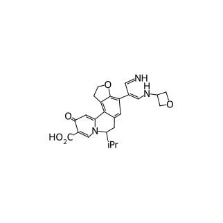 CC(C)C1Cc2cc(/C(C=N)=C/NC3COC3)c3c(c2-c2cc(=O)c(C(=O)O)cn21)CCO3